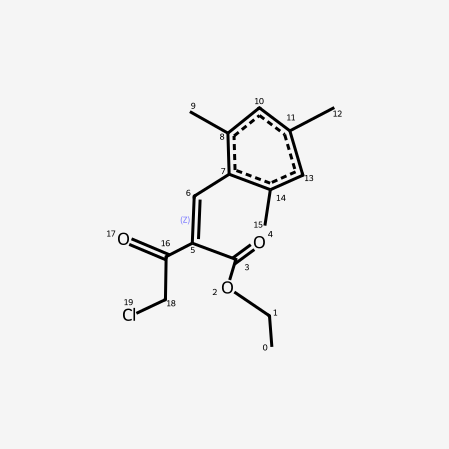 CCOC(=O)/C(=C\c1c(C)cc(C)cc1C)C(=O)CCl